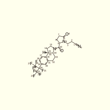 N#CCCN1C(=O)CCC1C(=O)N1CC[C@H]2c3ccc(C(F)(C(F)(F)F)C(F)(F)F)cc3CCC21